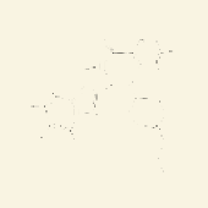 CCCN1CCC(Oc2cc(F)ccc2C(=O)N2Cc3nn4c(C)c(Cl)c(C)nc4c3C2)CC1